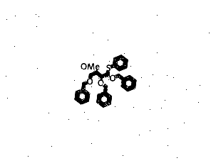 CO[C@@H](COCc1ccccc1)[C@H](OCc1ccccc1)[C@@H](OCc1ccccc1)Sc1ccccc1